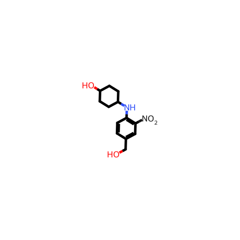 O=[N+]([O-])c1cc(CO)ccc1NC1CCC(O)CC1